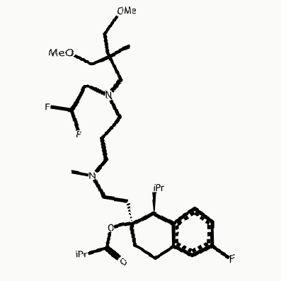 COCC(C)(COC)CN(CCCN(C)CC[C@@]1(OC(=O)C(C)C)CCc2cc(F)ccc2[C@@H]1C(C)C)CC(F)F